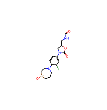 O=CNCC1CN(c2ccc(N3CCC[S+]([O-])CC3)c(F)c2)C(=O)O1